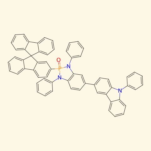 O=P1(c2ccc3c(c2)C2(c4ccccc4-c4ccccc42)c2ccccc2-3)N(c2ccccc2)c2ccc(-c3ccc4c(c3)c3ccccc3n4-c3ccccc3)cc2N1c1ccccc1